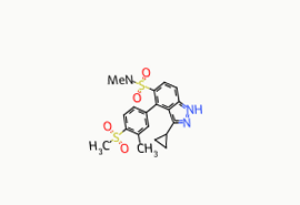 CNS(=O)(=O)c1ccc2[nH]nc(C3CC3)c2c1-c1ccc(S(C)(=O)=O)c(C)c1